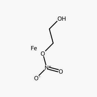 O=[N+]([O-])OCCO.[Fe]